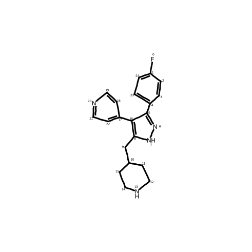 Fc1ccc(-c2n[nH]c(CC3CCNCC3)c2-c2ccncc2)cc1